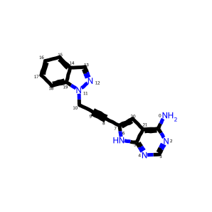 Nc1ncnc2[nH]c(C#CCn3ncc4ccccc43)cc12